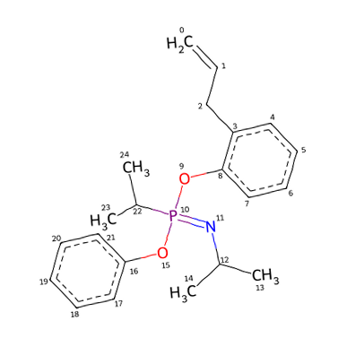 C=CCc1ccccc1OP(=NC(C)C)(Oc1ccccc1)C(C)C